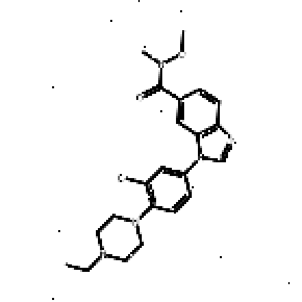 CCN1CCN(c2ccc(-n3cnc4ccc(C(=O)N(C)OC)cc43)cc2Cl)CC1